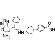 NC(=O)c1ccc(C2CCC(NCCC(c3ccccc3)c3cc(N)nc4[nH]nnc34)CC2)cc1